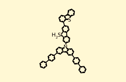 c1ccc(-c2ccc(-c3ccc4c(c3)c3cc(-c5ccc(-c6ccccc6)cc5)ccc3n4-c3ccc4c(c3)[SiH2]c3cc(-c5cccc6c5sc5ccccc56)ccc3-4)cc2)cc1